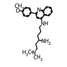 COc1ccc(-c2cc(NCCCC(N)CCN(C)C)c3ccccc3n2)cc1